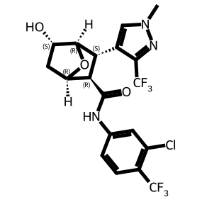 Cn1cc([C@H]2[C@H]3O[C@H](C[C@@H]3O)[C@@H]2C(=O)Nc2ccc(C(F)(F)F)c(Cl)c2)c(C(F)(F)F)n1